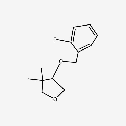 CC1(C)COCC1OCc1ccccc1F